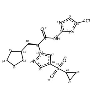 O=C(Nc1ncc(Cl)s1)[C@H](CC1CCCC1)n1cc(S(=O)(=O)C2CC2)cn1